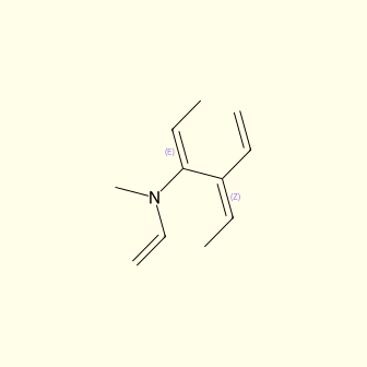 C=CC(=C/C)/C(=C\C)N(C)C=C